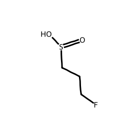 O=S(O)CCCF